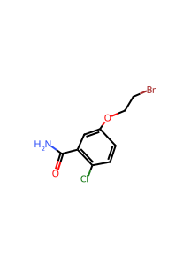 NC(=O)c1cc(OCCBr)ccc1Cl